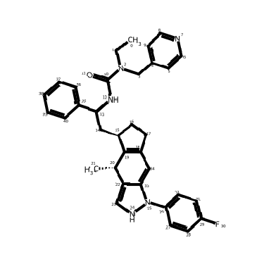 CCN(Cc1ccncc1)C(=O)NC(C[C@H]1CCC2=C1[C@@H](C)C1=CNN(c3ccc(F)cc3)C1=C2)c1ccccc1